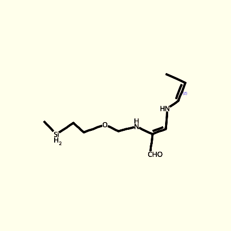 C/C=C\NC=C(C=O)NCOCC[SiH2]C